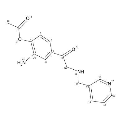 CC(=O)Oc1ccc(C(=O)CNCc2cccnc2)cc1N